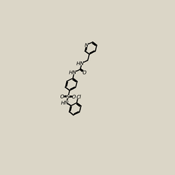 O=C(NCc1cccnc1)Nc1ccc(S(=O)(=O)Nc2ccccc2Cl)cc1